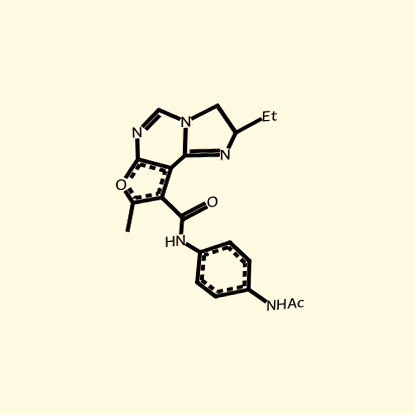 CCC1CN2C=Nc3oc(C)c(C(=O)Nc4ccc(NC(C)=O)cc4)c3C2=N1